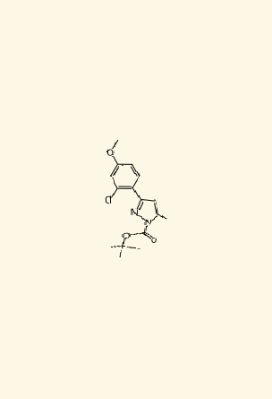 COc1ccc(-c2cc(C)n(C(=O)OC(C)(C)C)n2)c(Cl)c1